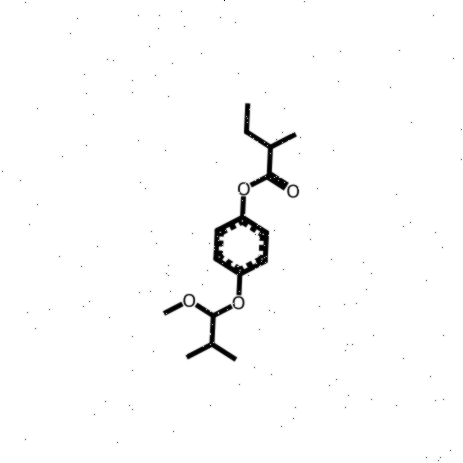 CCC(C)C(=O)Oc1ccc(OC(OC)C(C)C)cc1